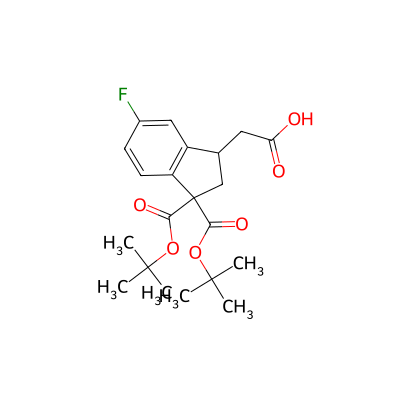 CC(C)(C)OC(=O)C1(C(=O)OC(C)(C)C)CC(CC(=O)O)c2cc(F)ccc21